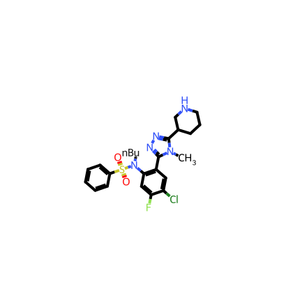 CCCCN(c1cc(F)c(Cl)cc1-c1nnc(C2CCCNC2)n1C)S(=O)(=O)c1ccccc1